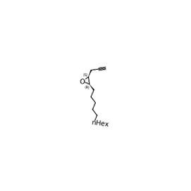 C#CC[C@@H]1O[C@@H]1CCCCCCCCCCC